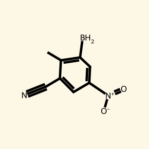 Bc1cc([N+](=O)[O-])cc(C#N)c1C